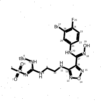 CC(C)(C)N/C(=N\S(C)(=O)=O)NCCNc1nonc1/C(=N/O)Nc1ccc(F)c(Br)c1